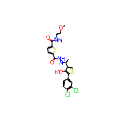 COCCNC(=O)c1ccc(C(=O)NN=C(C)c2csc(-c3ccc(Cl)c(Cl)c3)c2O)s1